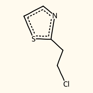 ClCCc1nccs1